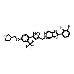 Fc1cccc(-c2nc3cnn(Cc4cc(-c5ccc(OCC6CCOC6)cc5C(F)(F)F)no4)cc-3n2)c1F